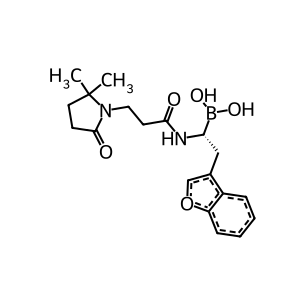 CC1(C)CCC(=O)N1CCC(=O)N[C@@H](Cc1coc2ccccc12)B(O)O